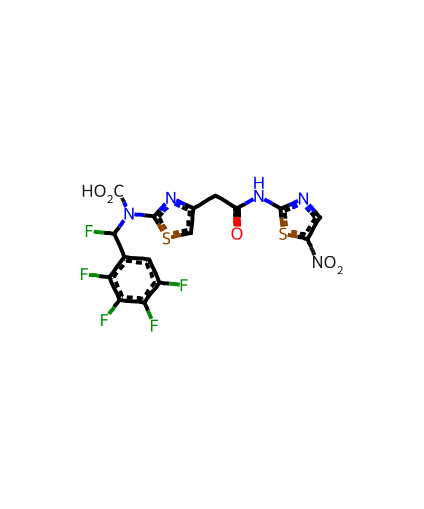 O=C(Cc1csc(N(C(=O)O)C(F)c2cc(F)c(F)c(F)c2F)n1)Nc1ncc([N+](=O)[O-])s1